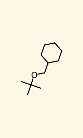 CC(C)(C)OC[C]1CCCCC1